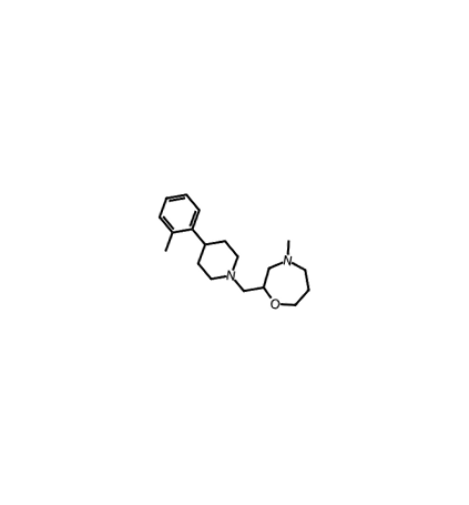 Cc1ccccc1C1CCN(CC2CN(C)CCCO2)CC1